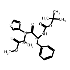 COC(=O)[C@H](C)N(C(=O)[C@H](Cc1ccccc1)NC(=O)OC(C)(C)C)c1cscn1